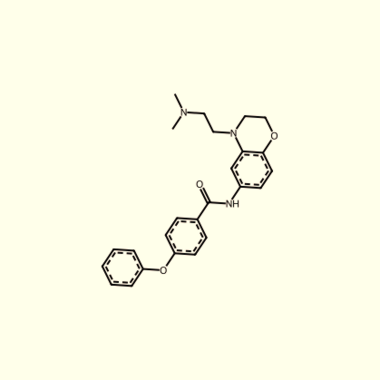 CN(C)CCN1CCOc2ccc(NC(=O)c3ccc(Oc4ccccc4)cc3)cc21